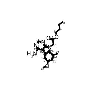 CCCCOC(=O)Cn1c2ncnc(N)c2c2cc(OC)cc(C)c21